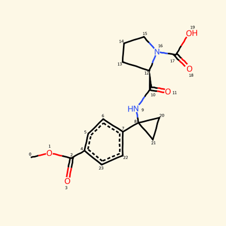 COC(=O)c1ccc(C2(NC(=O)[C@H]3CCCN3C(=O)O)CC2)cc1